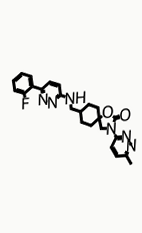 Cc1ccc(N2CC3(CCC(CNc4ccc(-c5ccccc5F)nn4)CC3)OC2=O)nn1